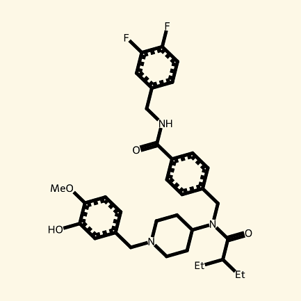 CCC(CC)C(=O)N(Cc1ccc(C(=O)NCc2ccc(F)c(F)c2)cc1)C1CCN(Cc2ccc(OC)c(O)c2)CC1